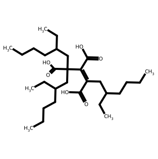 CCCCC(CC)CC(C(=O)O)=C(C(=O)O)C(CC(CC)CCCC)(CC(CC)CCCC)C(=O)O